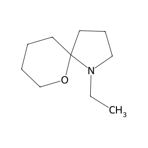 CCN1CCCC12CCCCO2